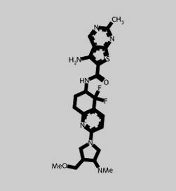 CNC1CN(c2ccc3c(n2)CCC(NC(=O)c2sc4nc(C)ncc4c2N)C3(F)F)CC1COC